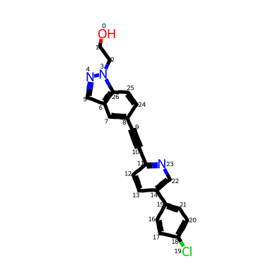 OCCn1ncc2cc(C#Cc3ccc(-c4ccc(Cl)cc4)cn3)ccc21